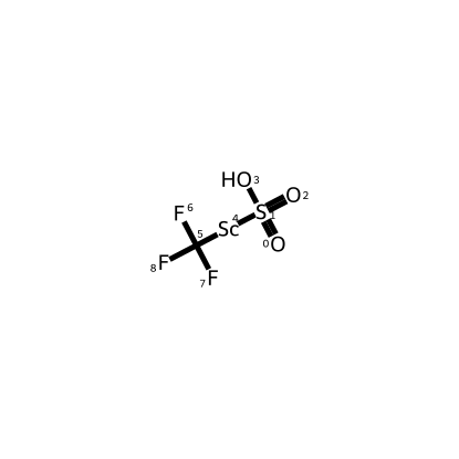 O=[S](=O)(O)[Sc][C](F)(F)F